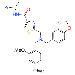 COc1ccc(CN(Cc2ccc3c(c2)OCO3)Cc2nc(C(=O)NC(C)C(C)C)cs2)c(OC)c1